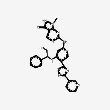 Cn1[nH]c(=O)c2cnc(Nc3cc(N[C@H](CO)c4ccccc4)c(-c4nc(-c5cccnc5)no4)cn3)nc21